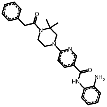 CC1(C)CN(c2ccc(C(=O)Nc3ccccc3N)cn2)CCN1C(=O)Cc1ccccc1